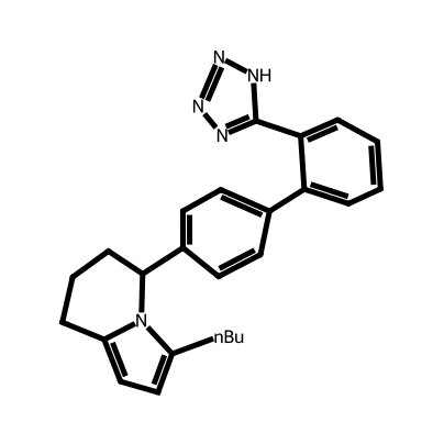 CCCCc1ccc2n1C(c1ccc(-c3ccccc3-c3nnn[nH]3)cc1)CCC2